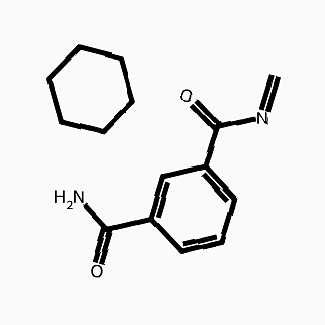 C1CCCCC1.C=NC(=O)c1cccc(C(N)=O)c1